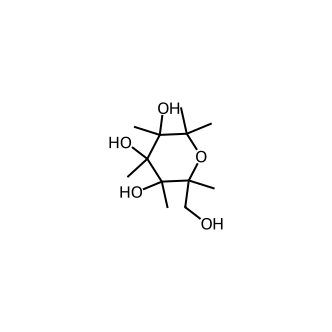 CC1(C)OC(C)(CO)C(C)(O)C(C)(O)C1(C)O